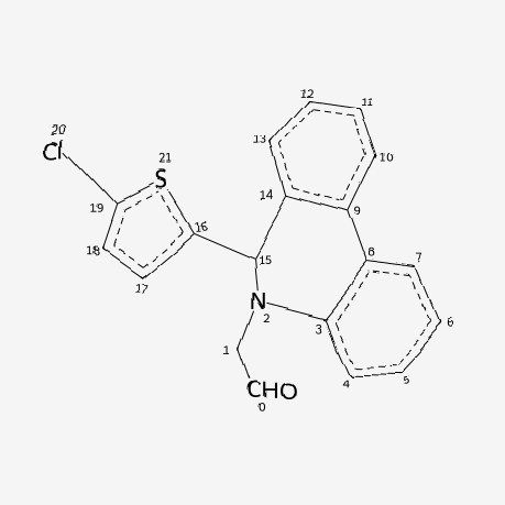 O=CCN1c2ccccc2-c2ccccc2C1c1ccc(Cl)s1